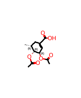 CC(=O)O[C@@H]1[C@H](C)CC(C(=O)O)=C[C@H]1OC(C)=O